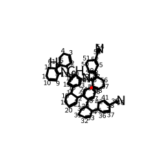 CC12C=CCC[C@@H]1C1=C(C=CCC1)N2c1cc(C2CCC=CC2C2=CCCC=C2C2CCC=CC2C2C=CC(C#N)=CC2)cc(-n2c3c(c4c2CCC(C#N)=C4)CCC=C3)c1